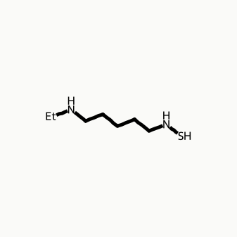 CCNCCCCCNS